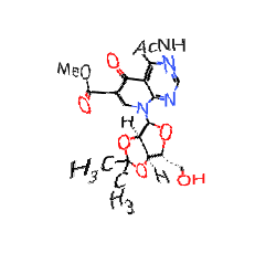 COC(=O)C1CN(C2O[C@H](CO)[C@H]3OC(C)(C)O[C@@H]23)c2ncnc(NC(C)=O)c2C1=O